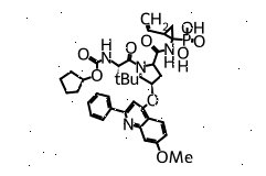 C=CC1CC1(NC(=O)C1C[C@@H](Oc2cc(-c3ccccc3)nc3cc(OC)ccc23)CN1C(=O)[C@@H](NC(=O)OC1CCCC1)C(C)(C)C)P(=O)(O)O